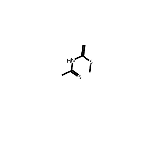 C=C(NC(C)=S)SC